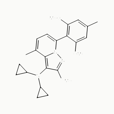 COc1cc(C)cc(OC)c1-c1ccc(C)c2c(N(C3CC3)C3CC3)c(OC)nn12